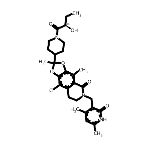 CC[C@@H](O)C(=O)N1CCC(C2(C)Oc3c(C)c4c(c(Cl)c3O2)CCN(Cc2c(C)cc(C)[nH]c2=O)C4=O)CC1